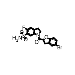 NS(=O)(=O)c1cc2c(cc1F)CCN2C(=O)C1Cc2cc(Br)ccc2O1